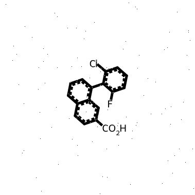 O=C(O)c1ccc2cccc(-c3c(F)cccc3Cl)c2c1